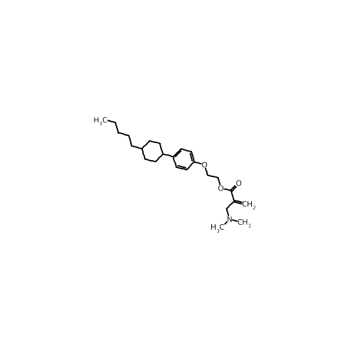 C=C(CN(C)C)C(=O)OCCOc1ccc(C2CCC(CCCCC)CC2)cc1